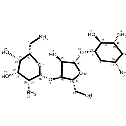 NC[C@@H]1O[C@H](O[C@H]2[C@@H](O)[C@H](O[C@H]3C[C@@H](N)C[C@@H](N)[C@@H]3O)O[C@@H]2CO)[C@H](N)[C@H](O)[C@@H]1O